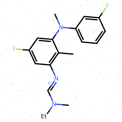 CCN(C)/C=N/c1cc(F)cc(N(C)c2cccc(F)c2)c1C